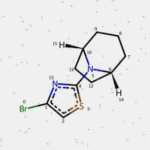 Brc1csc(N2[C@@H]3CCC[C@H]2CC3)n1